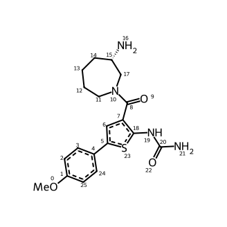 COc1ccc(-c2cc(C(=O)N3CCCC[C@H](N)C3)c(NC(N)=O)s2)cc1